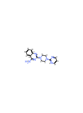 Nc1nc(N2CCN(c3ncccn3)CC2)nc2ccccc12